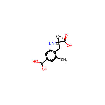 Cc1cc(B(O)O)ccc1C[C@](C)(N)C(=O)O